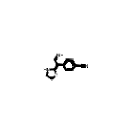 N#Cc1ccc(/C(C=N)=C2/NCCO2)cc1